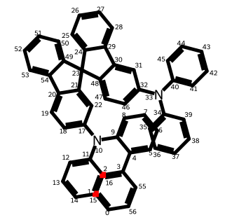 c1ccc(-c2ccccc2N(c2ccccc2)c2ccc3c(c2)C2(c4ccccc4-c4cc(N(c5ccccc5)c5ccccc5)ccc42)c2ccccc2-3)cc1